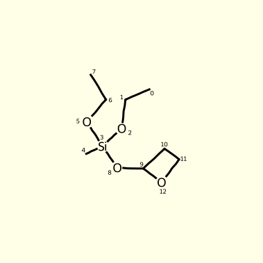 CCO[Si](C)(OCC)OC1CCO1